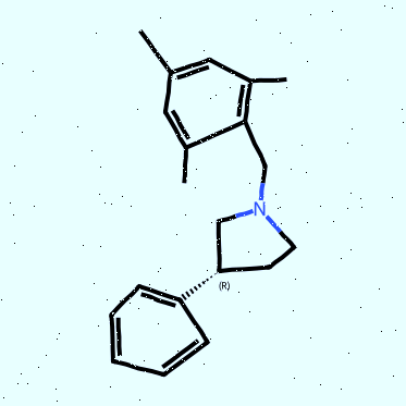 Cc1cc(C)c(CN2CC[C@H](c3ccccc3)C2)c(C)c1